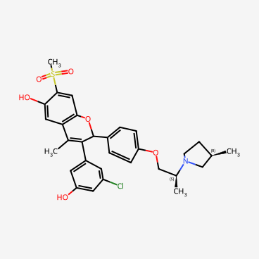 CC1=C(c2cc(O)cc(Cl)c2)C(c2ccc(OC[C@H](C)N3CC[C@@H](C)C3)cc2)Oc2cc(S(C)(=O)=O)c(O)cc21